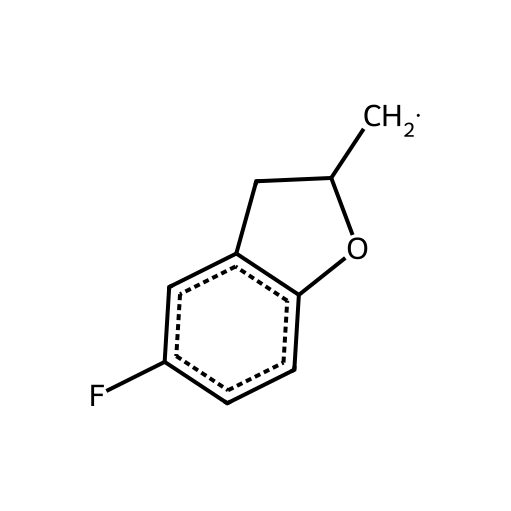 [CH2]C1Cc2cc(F)ccc2O1